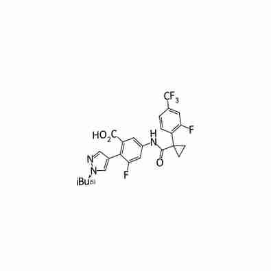 CC[C@H](C)n1cc(-c2c(F)cc(NC(=O)C3(c4ccc(C(F)(F)F)cc4F)CC3)cc2C(=O)O)cn1